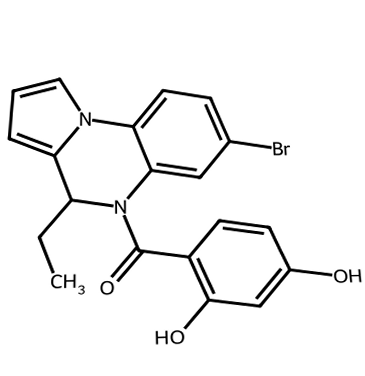 CCC1c2cccn2-c2ccc(Br)cc2N1C(=O)c1ccc(O)cc1O